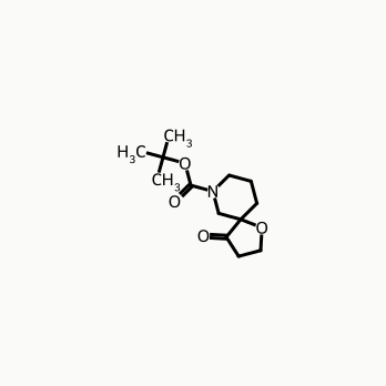 CC(C)(C)OC(=O)N1CCCC2(C1)OCCC2=O